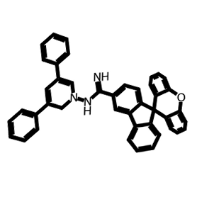 N=C(NN1C=C(c2ccccc2)C=C(c2ccccc2)C1)c1ccc2c(c1)-c1ccccc1C21c2ccccc2Oc2ccccc21